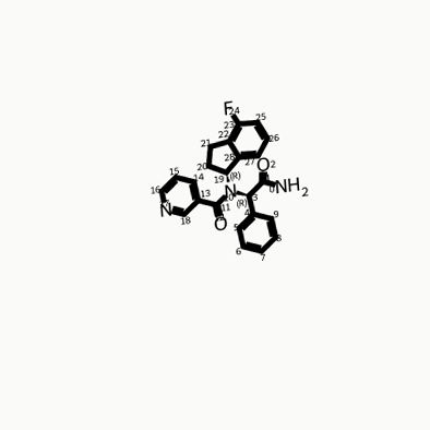 NC(=O)[C@@H](c1ccccc1)N(C(=O)c1cccnc1)[C@@H]1CCc2c(F)cccc21